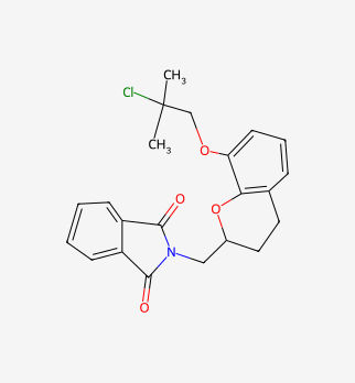 CC(C)(Cl)COc1cccc2c1OC(CN1C(=O)c3ccccc3C1=O)CC2